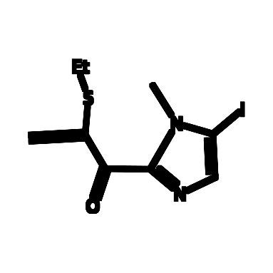 C=C(SCC)C(=O)c1ncc(I)n1C